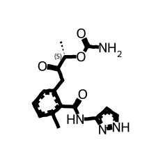 Cc1cccc(CC(=O)[C@H](C)OC(N)=O)c1C(=O)Nc1cc[nH]n1